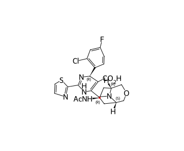 CC(=O)N[C@@H]1C[C@H]2COC[C@@H](C1)N2CC1=C(C(=O)O)[C@H](c2ccc(F)cc2Cl)N=C(c2nccs2)N1